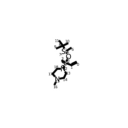 C=C[Si](C)(O[Si](C)(C)C(C)(C)C)N1CCN(C)CC1